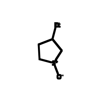 CCC1CC[S+]([O-])C1